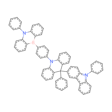 c1ccc(N2c3ccccc3B(c3ccc(N4c5ccccc5C(c5ccccc5)(c5ccc6c(c5)c5ccccc5n6-c5ccccc5)c5ccccc54)cc3)c3ccccc32)cc1